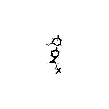 CC(C)(C)OOC(=O)c1ccc(N2CCNCC2N)cc1